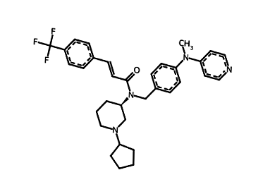 CN(c1ccncc1)c1ccc(CN(C(=O)/C=C/c2ccc(C(F)(F)F)cc2)[C@@H]2CCCN(C3CCCC3)C2)cc1